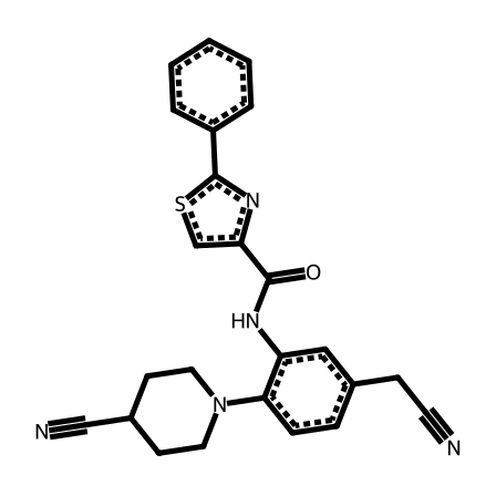 N#CCc1ccc(N2CCC(C#N)CC2)c(NC(=O)c2csc(-c3ccccc3)n2)c1